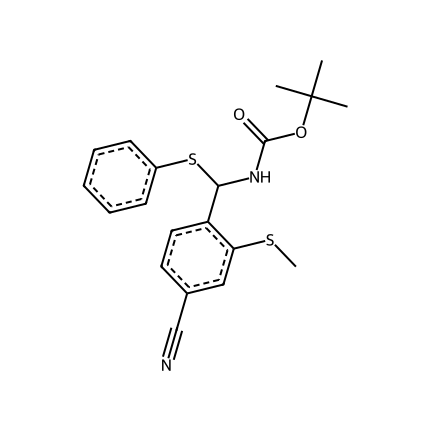 CSc1cc(C#N)ccc1C(NC(=O)OC(C)(C)C)Sc1ccccc1